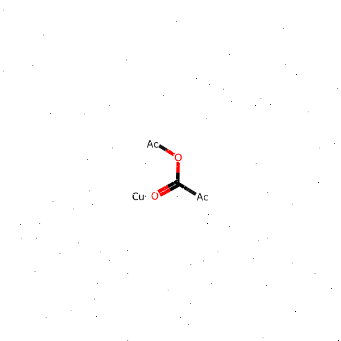 CC(=O)OC(=O)C(C)=O.[Cu]